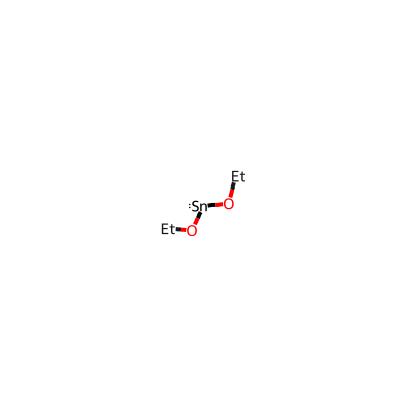 CC[O][Sn][O]CC